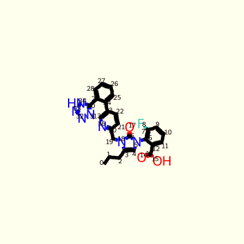 CCCc1cn(-c2c(F)cccc2C(=O)O)c(=O)n1Cc1ccc(-c2ccccc2-c2nnn[nH]2)cn1